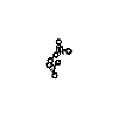 c1ccc(-c2cc(-c3ccccc3)nc(-c3ccc(-c4ccc5ccc6nc(-c7ccccc7)cc(-c7ccccc7)c6c5c4)cc3)n2)cc1